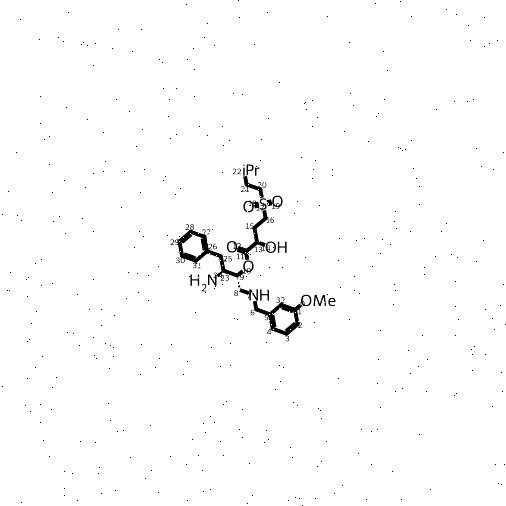 COc1cccc(CNC[C@@H](OC(=O)C(O)CCS(=O)(=O)CCC(C)C)[C@@H](N)Cc2ccccc2)c1